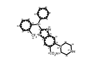 O=C(O)c1cc2nc(N(c3ccccc3)c3ccccc3C(F)(F)F)[nH]c2cc1N1CCNCC1